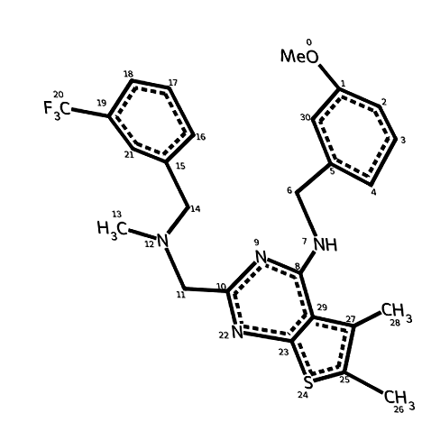 COc1cccc(CNc2nc(CN(C)Cc3cccc(C(F)(F)F)c3)nc3sc(C)c(C)c23)c1